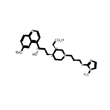 COc1ccc2nccc([C@@H](O)CC[C@@H]3CCN(CCCSc4nccn4C)C[C@@H]3CC(=O)O)c2c1